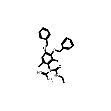 CCNC(=O)N(C(=N)N)c1c(C)cc(OCc2ccccc2)c(OCc2ccccc2)c1C